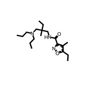 CCCN(CCC)CC(C)(CC)CNC(=O)c1noc(CC)c1C